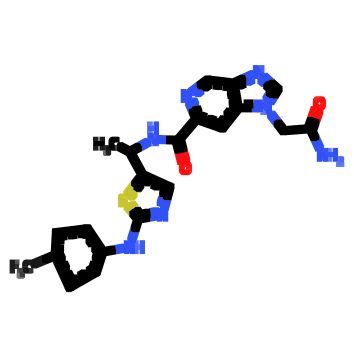 CC(NC(=O)c1cc2c(cn1)ncn2CC(N)=O)c1cnc(Nc2ccc(C(F)(F)F)cc2)s1